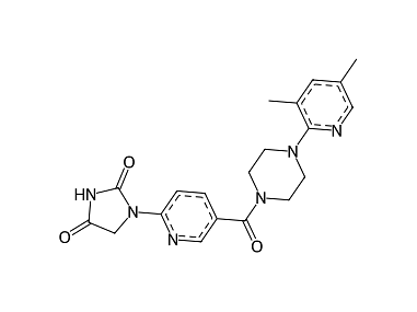 Cc1cnc(N2CCN(C(=O)c3ccc(N4CC(=O)NC4=O)nc3)CC2)c(C)c1